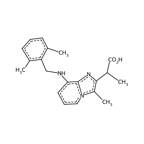 Cc1cccc(C)c1CNc1cccn2c(C)c(C(C)C(=O)O)nc12